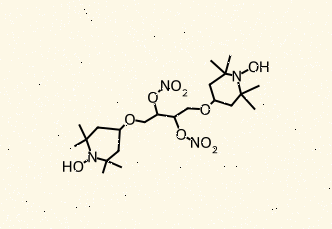 CC1(C)CC(OCC(O[N+](=O)[O-])C(COC2CC(C)(C)N(O)C(C)(C)C2)O[N+](=O)[O-])CC(C)(C)N1O